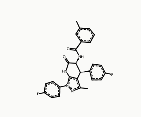 Cc1cccc(C(=O)N[C@@H]2C(=O)Nc3c(c(C)nn3-c3ccc(F)cc3)[C@@H]2c2ccc(F)cc2)c1